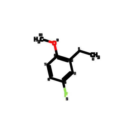 CCc1cc(F)ccc1OC